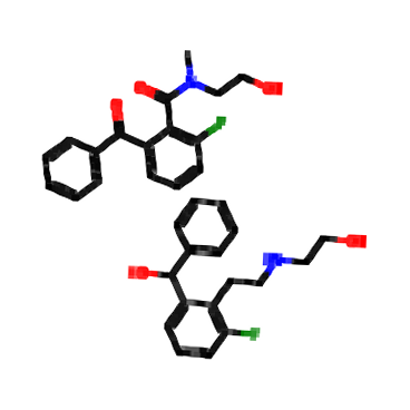 CN(CCO)C(=O)c1c(F)cccc1C(=O)c1ccccc1.OCCNCCc1c(F)cccc1C(O)c1ccccc1